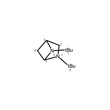 CC(C)(C)N1CC2CC1N2C(C)(C)C